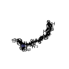 CC(C)(C)OC(=O)/N=C(\NCCC[C@H](N)C(=O)NCCCCNC(=O)c1ccc(NC(=O)c2ccc(CN(C(=O)c3ccc4c(c3)OCC(=O)N4)C3CC3)cc2)cc1)NC(=O)OC(C)(C)C